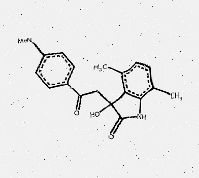 CNc1ccc(C(=O)CC2(O)C(=O)Nc3c(C)ccc(C)c32)cc1